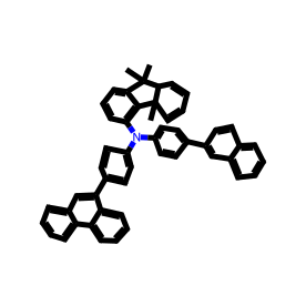 CC1(C)c2cccc(N(c3ccc(-c4ccc5ccccc5c4)cc3)c3ccc(-c4cc5ccccc5c5ccccc45)cc3)c2C2(C)C=CC=CC12